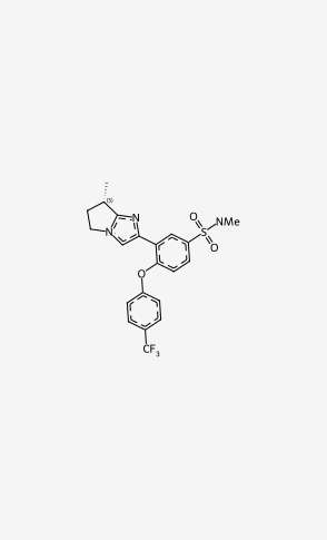 CNS(=O)(=O)c1ccc(Oc2ccc(C(F)(F)F)cc2)c(-c2cn3c(n2)[C@@H](C)CC3)c1